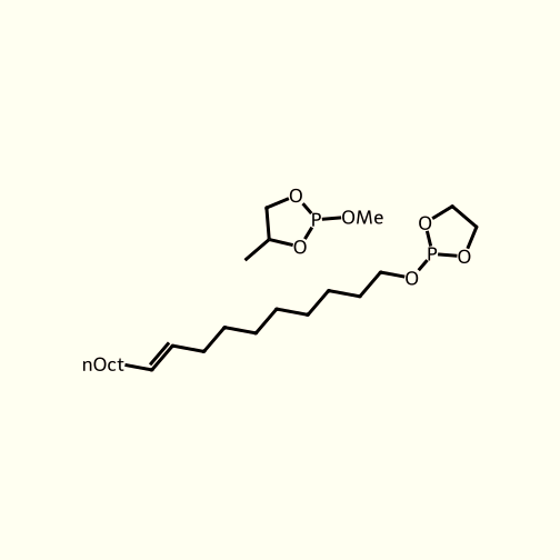 CCCCCCCCC=CCCCCCCCCOP1OCCO1.COP1OCC(C)O1